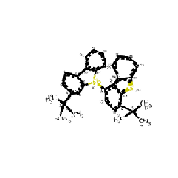 CC(C)(C)c1ccc2c(c1)[SH](c1ccc(C(C)(C)C)c3sc4ccccc4c13)c1ccccc1-2